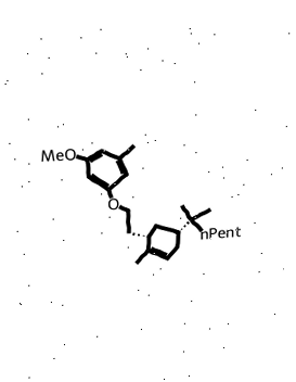 CCCCCC(C)(C)[C@@H]1CC=C(C)[C@H](CCOc2cc(C)cc(OC)c2)C1